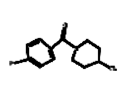 CC(C)c1ccc(C(=O)N2CCC(C#N)CC2)cc1